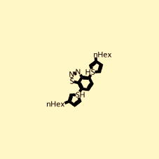 CCCCCCC1=C[SH](c2ccc([SH]3C=CC(CCCCCC)=C3)c3snnc23)C=C1